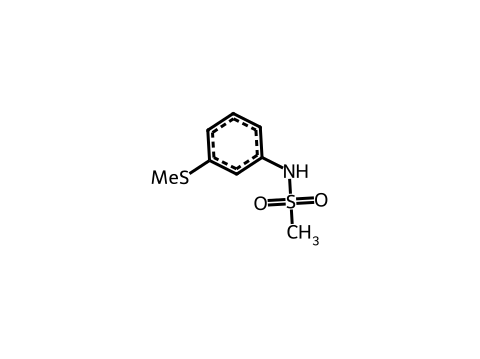 CSc1cccc(NS(C)(=O)=O)c1